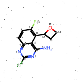 Nc1nc(Cl)nc2ccc(F)c(C3CCO3)c12